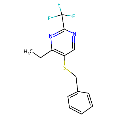 CCc1nc(C(F)(F)F)ncc1SCc1ccccc1